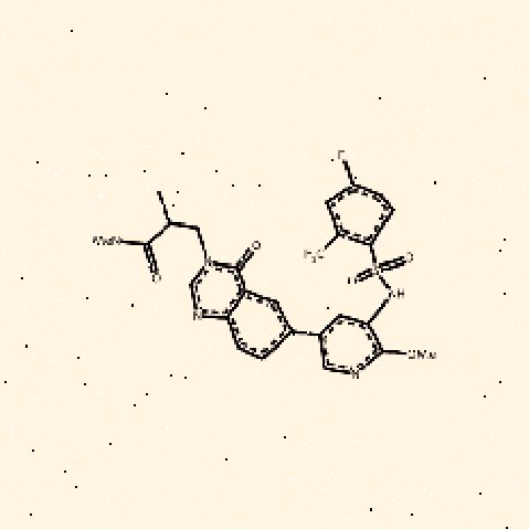 CNC(=O)C(C)Cn1cnc2ccc(-c3cnc(OC)c(NS(=O)(=O)c4ccc(F)cc4C(F)(F)F)c3)cc2c1=O